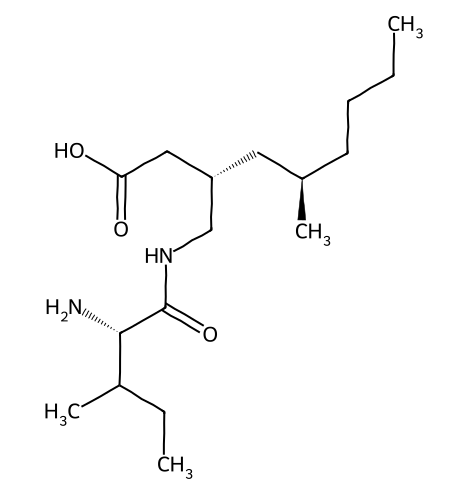 CCCC[C@@H](C)C[C@H](CNC(=O)[C@@H](N)C(C)CC)CC(=O)O